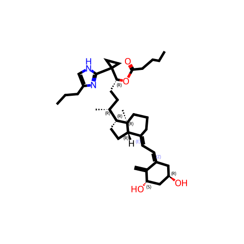 C=C1/C(=C\C=C2/CCC[C@]3(C)[C@@H]([C@H](C)CC[C@@H](OC(=O)CCCC)C4(c5nc(CCC)c[nH]5)CC4)CC[C@@H]23)C[C@@H](O)C[C@@H]1O